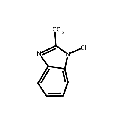 Cln1c(C(Cl)(Cl)Cl)nc2ccccc21